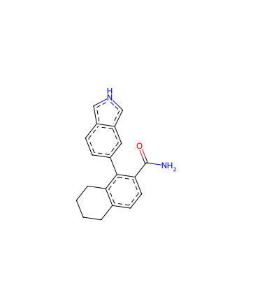 NC(=O)c1ccc2c(c1-c1ccc3c[nH]cc3c1)CCCC2